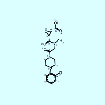 CN(CC(=O)N1CCN(c2ccccc2Cl)CC1)C(=O)[C@H]1O[C@@H]1C(=O)O